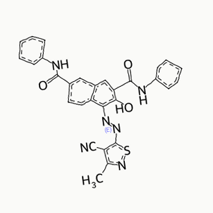 Cc1nsc(/N=N/c2c(O)c(C(=O)Nc3ccccc3)cc3cc(C(=O)Nc4ccccc4)ccc23)c1C#N